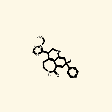 CCn1ncnc1C1CNC2=CC(F)(c3ccccc3)C=C3C(=O)NCCC1=C23